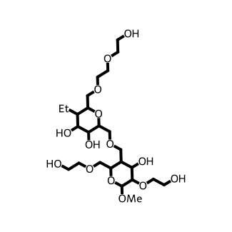 CCC1C(COCCOCCO)OC(COCC2C(COCCO)OC(OC)C(OCCO)C2O)C(O)C1O